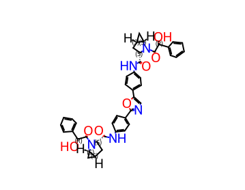 O=C(Nc1ccc(-c2cnc(-c3ccc(NC(=O)[C@@H]4C[C@@H]5C[C@@H]5N4C(=O)[C@H](O)c4ccccc4)cc3)o2)cc1)[C@@H]1C[C@@H]2C[C@@H]2N1C(=O)[C@H](O)c1ccccc1